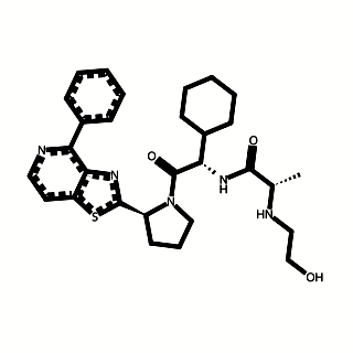 C[C@H](NCCO)C(=O)N[C@H](C(=O)N1CCC[C@H]1c1nc2c(-c3ccccc3)nccc2s1)C1CCCCC1